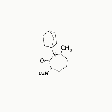 CNC1CCCC(C)N(C23CCC(CC2)C3)C1=O